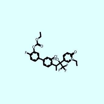 CCOC(=O)Oc1cc(-c2ccc(C(C)C(O)(c3ccc(=O)n(CC)c3)C(F)(F)F)c(Cl)c2)ccc1F